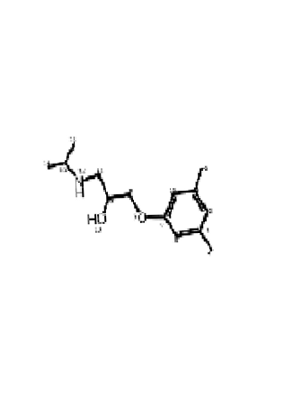 Cc1cc(C)cc(OCC(O)CNC(C)C)c1